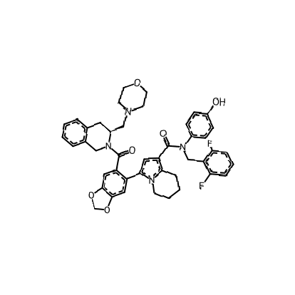 O=C(c1cc(-c2cc3c(cc2C(=O)N2Cc4ccccc4C[C@H]2CN2CCOCC2)OCO3)n2c1CCCC2)N(Cc1c(F)cccc1F)c1ccc(O)cc1